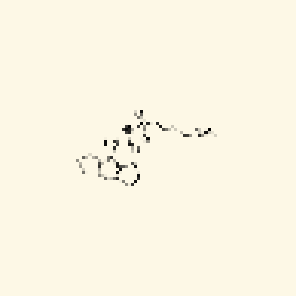 CNCCCCS(=O)(=O)NC(=O)Nc1c2c(cc3c1CCC3)CCC2